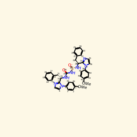 COc1ccc(-n2ccnc2[C@H](Cc2ccccc2)NC(=O)N[S+]([O-])N[C@@H](Cc2ccccc2)c2nccn2-c2ccc(OC)cc2)cc1